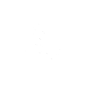 CSc1nc(-n2c(C(F)F)nc3c(C)cccc32)cc(-n2c(C(F)F)nc3c(C)cccc32)n1